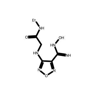 CCNC(=O)CNc1nonc1C(=N)NO